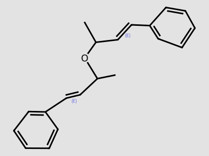 CC(/C=C/c1ccccc1)OC(C)/C=C/c1ccccc1